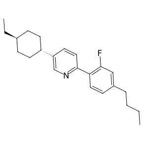 CCCCc1ccc(-c2ccc([C@H]3CC[C@H](CC)CC3)cn2)c(F)c1